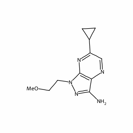 COCCn1nc(N)c2ncc(C3CC3)nc21